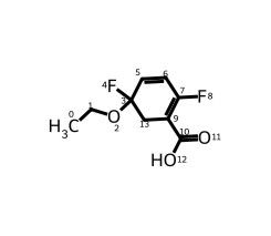 CCOC1(F)C=CC(F)=C(C(=O)O)C1